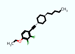 CCCCC[C@H]1CC[C@H](C#Cc2ccc(OCC)c(F)c2F)CC1